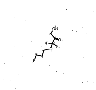 O=C(CO)C(F)(F)OCCCF